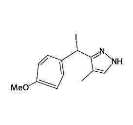 COc1ccc(C(I)c2n[nH]cc2C)cc1